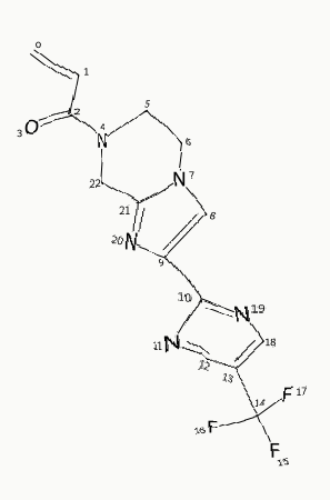 C=CC(=O)N1CCn2cc(-c3ncc(C(F)(F)F)cn3)nc2C1